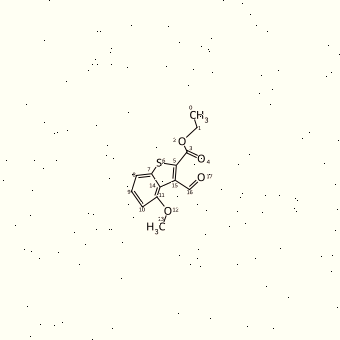 CCOC(=O)c1sc2cccc(OC)c2c1C=O